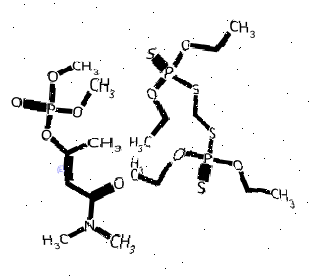 CCOP(=S)(OCC)SCSP(=S)(OCC)OCC.COP(=O)(OC)O/C(C)=C/C(=O)N(C)C